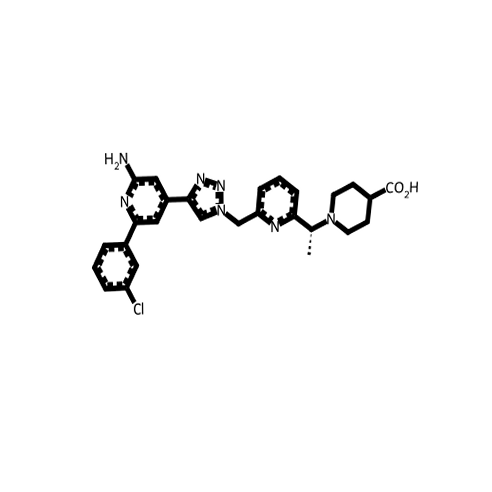 C[C@H](c1cccc(Cn2cc(-c3cc(N)nc(-c4cccc(Cl)c4)c3)nn2)n1)N1CCC(C(=O)O)CC1